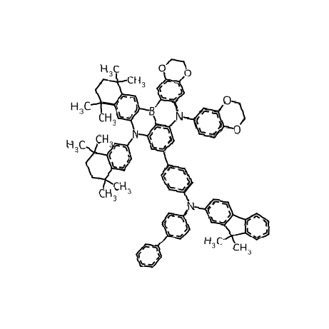 CC1(C)CCC(C)(C)c2cc(N3c4cc5c(cc4B4c6cc7c(cc6N(c6ccc8c(c6)OCCO8)c6cc(-c8ccc(N(c9ccc(-c%10ccccc%10)cc9)c9ccc%10c(c9)C(C)(C)c9ccccc9-%10)cc8)cc3c64)OCCO7)C(C)(C)CCC5(C)C)ccc21